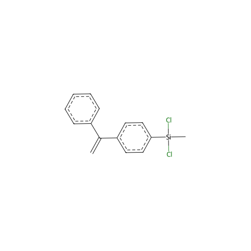 C=C(c1ccccc1)c1ccc([Si](C)(Cl)Cl)cc1